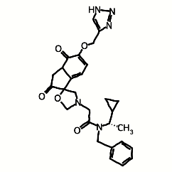 C[C@@H](C1CC1)N(Cc1ccccc1)C(=O)CN1COC2(C1)C(=O)CC1C(=O)C(OCc3c[nH]nn3)=CC=C12